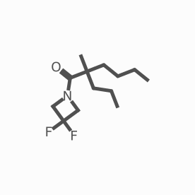 CCCCC(C)(CCC)C(=O)N1CC(F)(F)C1